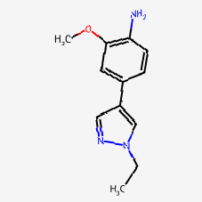 CCn1cc(-c2ccc(N)c(OC)c2)cn1